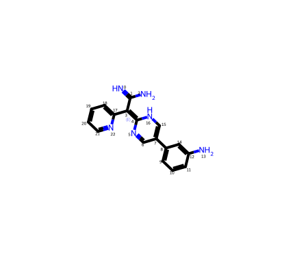 N=C(N)/C(=C1/N=CC(c2cccc(N)c2)=CN1)c1ccccn1